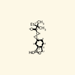 CCC(C)(C)C(=O)OOc1ccc2c(c1)B(O)OC2